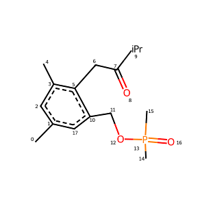 Cc1cc(C)c(CC(=O)C(C)C)c(COP(C)(C)=O)c1